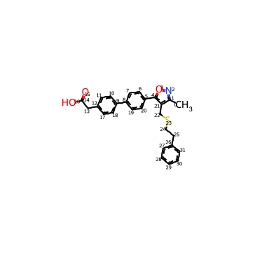 Cc1noc(-c2ccc(-c3ccc(CC(=O)O)cc3)cc2)c1CSCCc1ccccc1